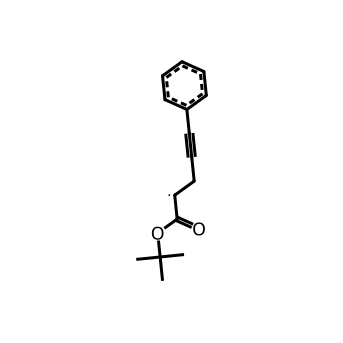 CC(C)(C)OC(=O)[CH]CC#Cc1ccccc1